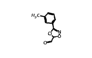 Cc1cccc(C2=NOC(C=O)O2)c1